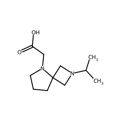 CC(C)N1CC2(CCCN2CC(=O)O)C1